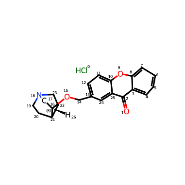 Cl.O=c1c2ccccc2oc2ccc(CO[C@H]3CN4CCC3CC4)cc12